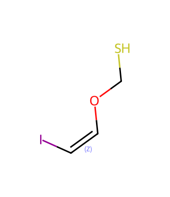 SCO/C=C\I